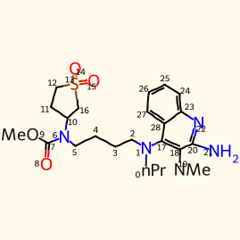 CCCN(CCCCN(C(=O)OC)C1CCS(=O)(=O)C1)c1c(NC)c(N)nc2ccccc12